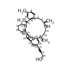 C=C1CCc2ccc(C)cc2C(=C)N2CCCC[C@H]2c2cc3nc(C#CCO)cc(n3n2)N(C)CCN1